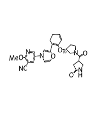 COc1ncc(N2C=COC(C3=C(O[C@H]4CCN(C(=O)C5CNC(=O)C5)C4)C=CCC3)=C2)cc1C#N